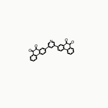 O=C1C(=O)c2cc(-c3cncc(-c4ccc5c(c4)C(=O)C(=O)c4ccccc4-5)c3)ccc2-c2ccccc21